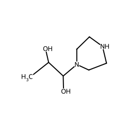 CC(O)C(O)N1CCNCC1